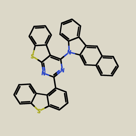 c1ccc2cc3c(cc2c1)c1ccccc1n3-c1nc(-c2cccc3sc4ccccc4c23)nc2sc3ccccc3c12